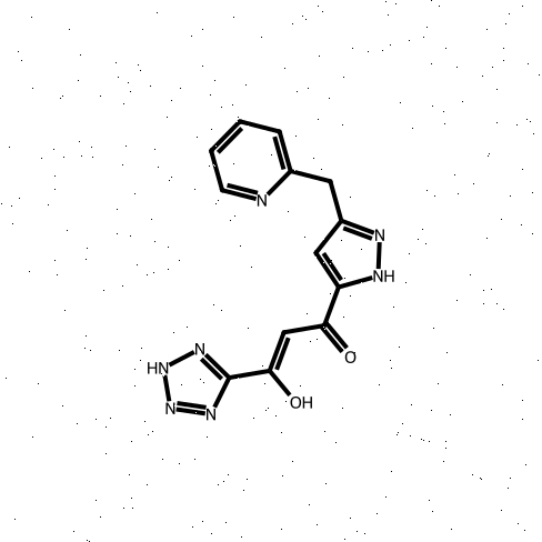 O=C(C=C(O)c1nn[nH]n1)c1cc(Cc2ccccn2)n[nH]1